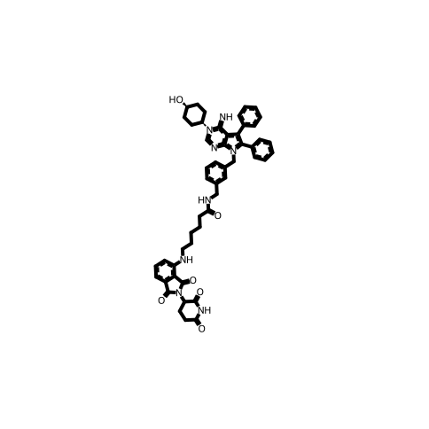 N=c1c2c(-c3ccccc3)c(-c3ccccc3)n(Cc3cccc(CNC(=O)CCCCCNc4cccc5c4C(=O)N(C4CCC(=O)NC4=O)C5=O)c3)c2ncn1[C@H]1CC[C@H](O)CC1